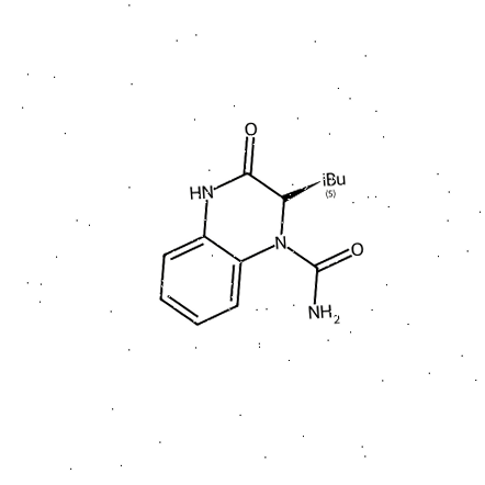 CC[C@H](C)C1C(=O)Nc2ccccc2N1C(N)=O